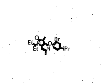 CCC(CC)N1C(=O)C(C)c2c1cc(C)nc2Oc1ccc(C(C)C)cc1Br